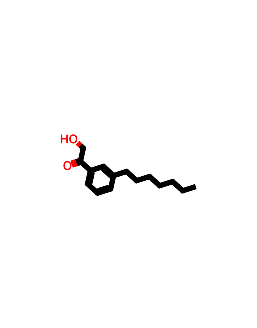 CCCCCCCc1cccc(C(=O)CO)c1